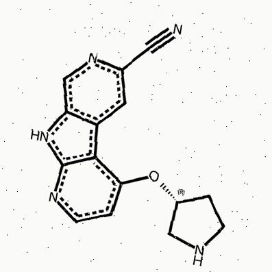 N#Cc1cc2c(cn1)[nH]c1nccc(O[C@@H]3CCNC3)c12